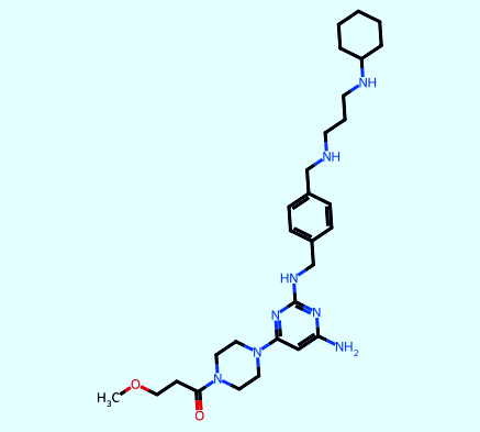 COCCC(=O)N1CCN(c2cc(N)nc(NCc3ccc(CNCCCNC4CCCCC4)cc3)n2)CC1